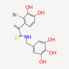 C=C(C(=S)NCc1cc(O)c(O)c(O)c1)c1ccc(O)c(O)c1Br